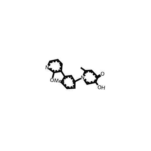 COc1ncccc1-c1cccc(-n2cc(O)c(=O)cc2C)c1